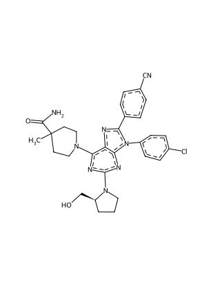 CC1(C(N)=O)CCN(c2nc(N3CCC[C@H]3CO)nc3c2nc(-c2ccc(C#N)cc2)n3-c2ccc(Cl)cc2)CC1